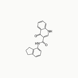 O=C(Nc1cccc2c1CCC2)c1c[nH]c2ccccc2c1=O